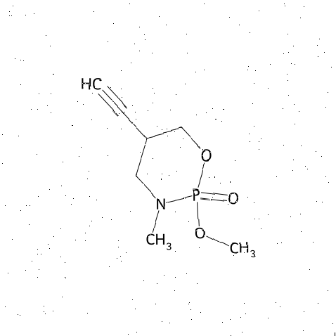 C#CC1COP(=O)(OC)N(C)C1